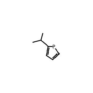 CC(C)C1=CC=C[P]1